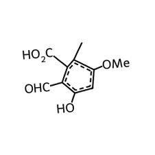 COc1cc(O)c(C=O)c(C(=O)O)c1C